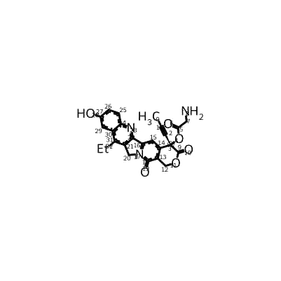 CC#C[C@@]1(OC(=O)CN)C(=O)OCc2c1cc1n(c2=O)Cc2c-1nc1ccc(O)cc1c2CC